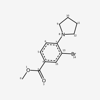 COC(=O)c1ccc(N2CCCC2)c(Br)c1